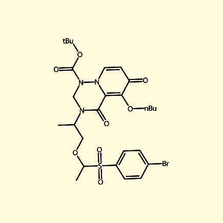 CCCCOc1c2n(ccc1=O)N(C(=O)OC(C)(C)C)CN(C(C)COC(C)S(=O)(=O)c1ccc(Br)cc1)C2=O